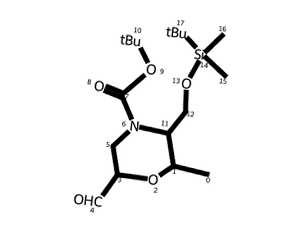 CC1OC(C=O)CN(C(=O)OC(C)(C)C)C1CO[Si](C)(C)C(C)(C)C